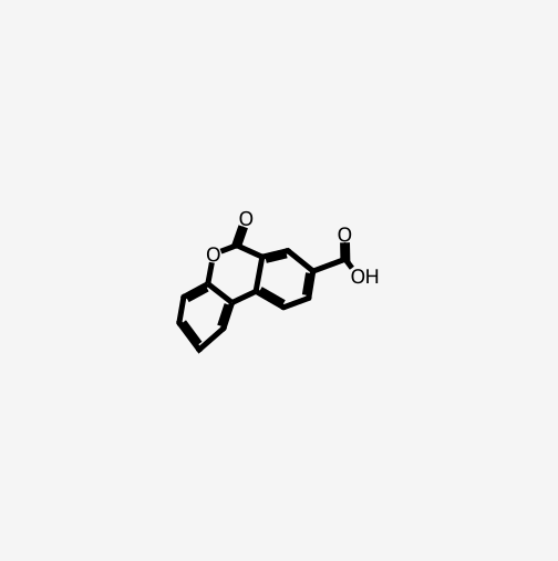 O=C(O)c1ccc2c(c1)c(=O)oc1ccccc12